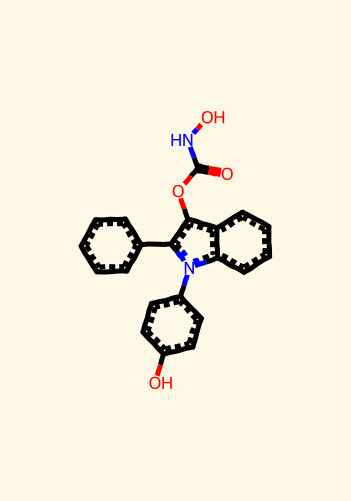 O=C(NO)Oc1c(-c2ccccc2)n(-c2ccc(O)cc2)c2ccccc12